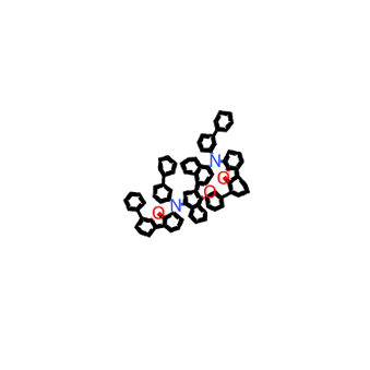 c1ccc(-c2cccc(N(c3cc4c(oc5cc(N(c6cccc(-c7ccccc7)c6)c6cccc7c6oc6c(-c8ccccc8)cccc67)c6ccccc6c54)c4ccccc34)c3cccc4c3oc3c(-c5ccccc5)cccc34)c2)cc1